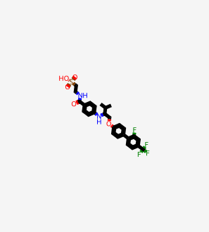 CC(C)C(COc1ccc(-c2ccc(C(F)(F)F)cc2F)cc1)Nc1ccc(C(=O)NCCS(=O)(=O)O)cc1